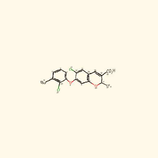 CC(C)(C)c1cccc(Oc2cc3c(cc2Cl)C=C(C(=O)O)C(C(F)(F)F)O3)c1Cl